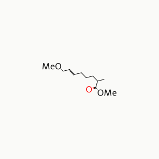 COC/C=C/CCCC(C)C(=O)OC